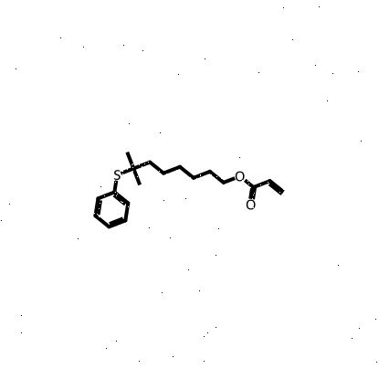 C=CC(=O)OCCCCCCC(C)(C)Sc1ccccc1